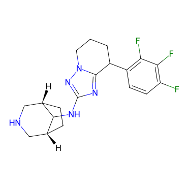 Fc1ccc(C2CCCn3nc(NC4[C@@H]5CC[C@H]4CNC5)nc32)c(F)c1F